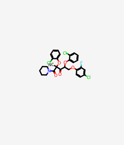 N#CC(Oc1ccccc1Cl)(C(=O)C(COc1ccc(Cl)cc1F)Oc1ccccc1Cl)C(=O)N1CCCCC1